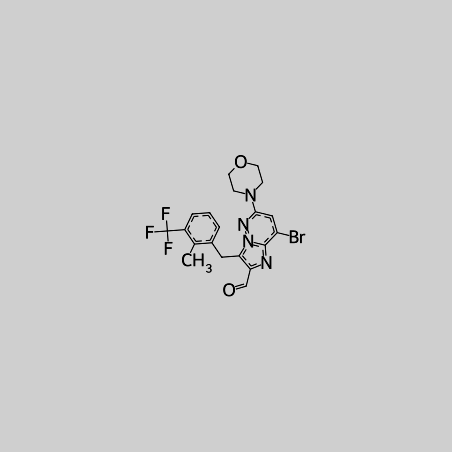 Cc1c(Cc2c(C=O)nc3c(Br)cc(N4CCOCC4)nn23)cccc1C(F)(F)F